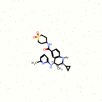 CC(=O)N1c2ccc(C(=O)NC3CCS(=O)(=O)CC3)cc2[C@H](Nc2cccc(C)n2)[C@@H](C)[C@@H]1C1CC1